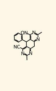 Cc1nc(C#N)c2c(n1)Cc1nc(C)nc(N=O)c1C2c1ccccc1